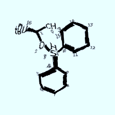 C[C](O[SiH](c1ccccc1)c1ccccc1)C(C)(C)C